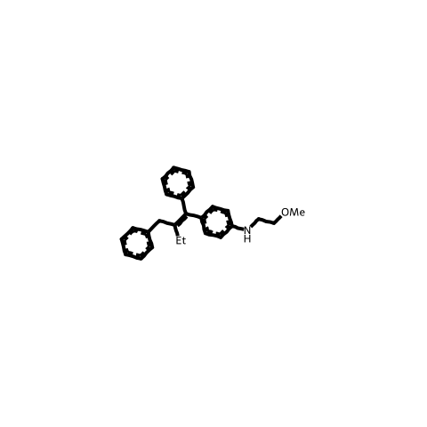 CCC(Cc1ccccc1)=C(c1ccccc1)c1ccc(NCCOC)cc1